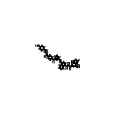 Cc1ccc(N/C(=C\C(=N)C(C)(C)C)NC(=O)Nc2ccc(OCc3ccnc(Nc4cnc(C(=O)NCCN5CCC(O)CC5)cn4)c3)c3ccccc23)cc1